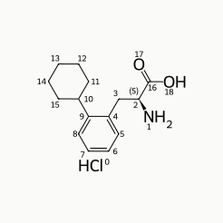 Cl.N[C@@H](Cc1ccccc1C1CCCCC1)C(=O)O